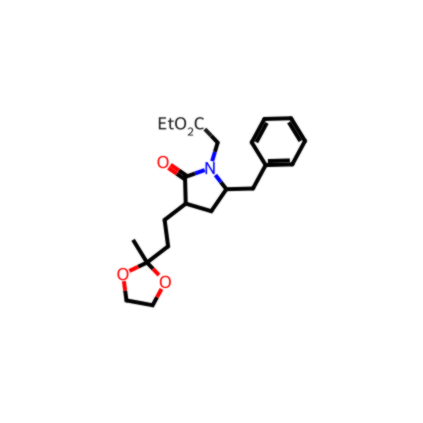 CCOC(=O)CN1C(=O)C(CCC2(C)OCCO2)CC1Cc1ccccc1